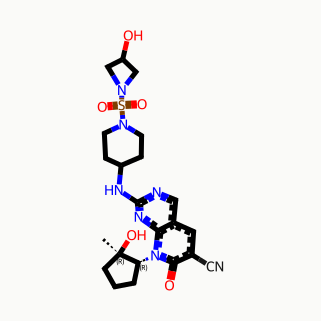 C[C@@]1(O)CCC[C@H]1n1c(=O)c(C#N)cc2cnc(NC3CCN(S(=O)(=O)N4CC(O)C4)CC3)nc21